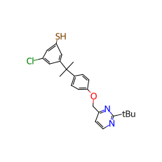 CC(C)(C)c1nccc(COc2ccc(C(C)(C)c3cc(S)cc(Cl)c3)cc2)n1